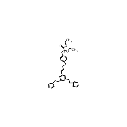 CCOC(=O)[C@H](Cc1ccc(OCC=Cc2cc(CCc3ccccc3)cc(CCc3ccccc3)c2)cc1)OCC